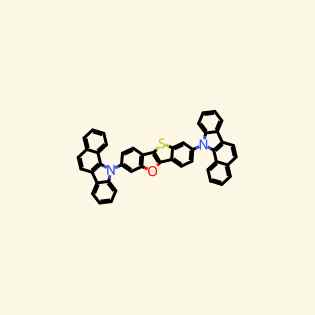 c1ccc2c(c1)ccc1c3ccccc3n(-c3ccc4c(c3)oc3c5ccc(-n6c7ccccc7c7ccc8ccccc8c76)cc5sc43)c21